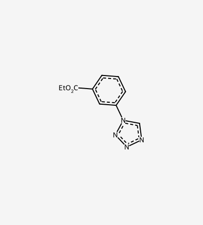 CCOC(=O)c1cccc(-n2cnnn2)c1